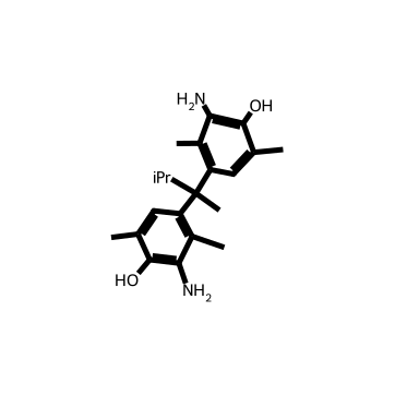 Cc1cc(C(C)(c2cc(C)c(O)c(N)c2C)C(C)C)c(C)c(N)c1O